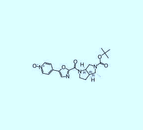 C[C@@H]1[C@H]2CCN(C(=O)c3ncc(-c4cc[n+]([O-])cc4)o3)[C@H]2CN1C(=O)OC(C)(C)C